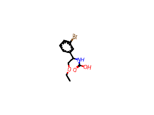 CCOCC(NC(=O)O)c1cccc(Br)c1